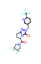 O=C(C1CCc2nn(Cc3ccc(C(F)(F)F)nc3)c(=O)n21)N1C[C@@H](F)[C@@H](F)C1